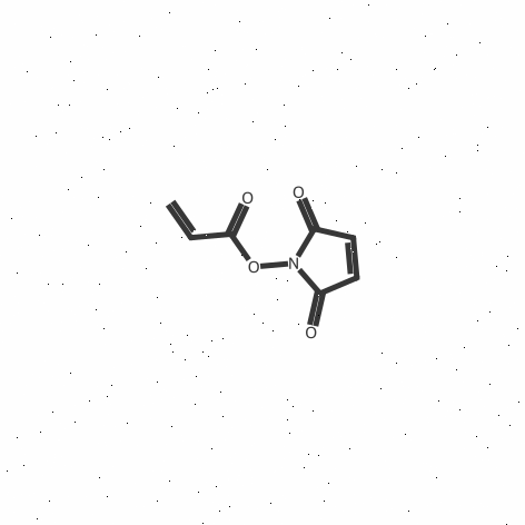 C=CC(=O)ON1C(=O)C=CC1=O